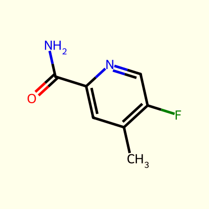 Cc1cc(C(N)=O)ncc1F